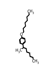 CCC[CH]CCC(C)c1ccc(OCCCCCCCC)cc1